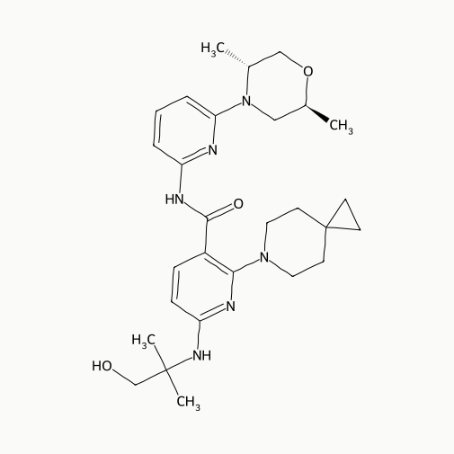 C[C@@H]1CO[C@@H](C)CN1c1cccc(NC(=O)c2ccc(NC(C)(C)CO)nc2N2CCC3(CC2)CC3)n1